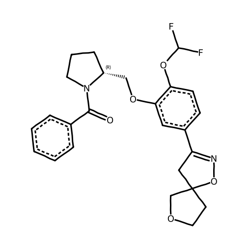 O=C(c1ccccc1)N1CCC[C@@H]1COc1cc(C2=NOC3(CCOC3)C2)ccc1OC(F)F